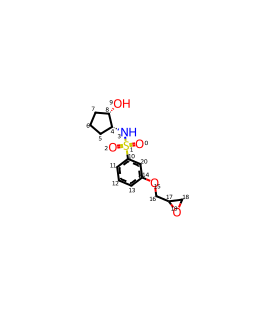 O=S(=O)(N[C@@H]1CCC[C@@H]1O)c1cccc(OCC2CO2)c1